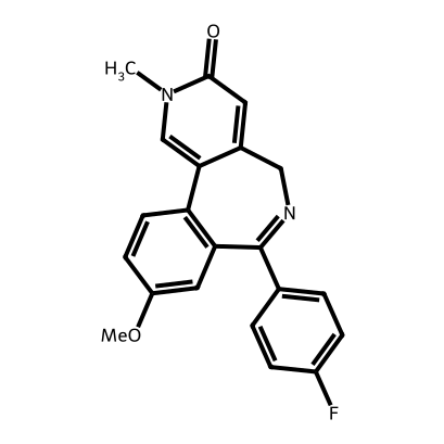 COc1ccc2c(c1)C(c1ccc(F)cc1)=NCc1cc(=O)n(C)cc1-2